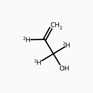 [2H]C(=C)C([2H])([2H])O